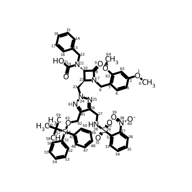 COc1ccc(CN2C(=O)[C@@H](N(Cc3ccccc3)C(=O)O)[C@@H]2Cn2nc(CNS(=O)(=O)c3ccccc3[N+](=O)[O-])c(CO[Si](c3ccccc3)(c3ccccc3)C(C)(C)C)n2)c(OC)c1